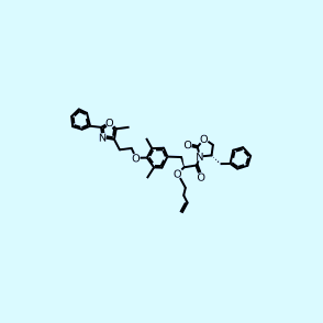 C=CCCO[C@@H](Cc1cc(C)c(OCCc2nc(-c3ccccc3)oc2C)c(C)c1)C(=O)N1C(=O)OC[C@@H]1Cc1ccccc1